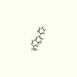 CC(C)(C)c1ccc2cc(-c3ccccn3)ccc2c1